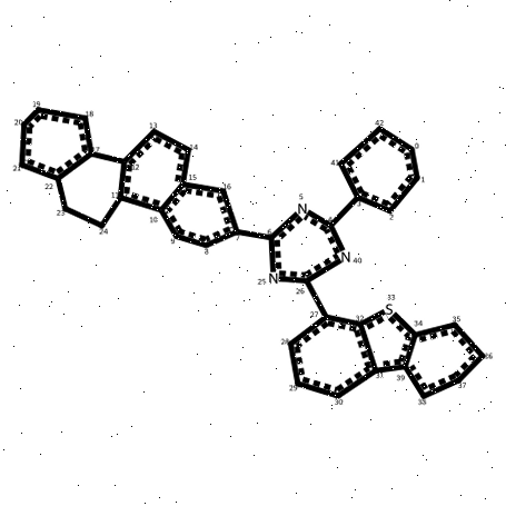 c1ccc(-c2nc(-c3ccc4c5c(ccc4c3)-c3ccccc3CC5)nc(-c3cccc4c3sc3ccccc34)n2)cc1